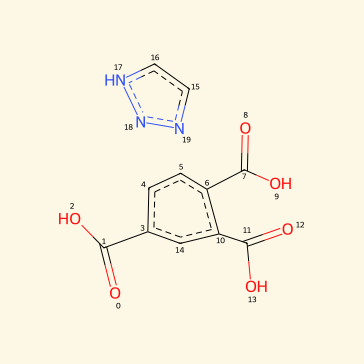 O=C(O)c1ccc(C(=O)O)c(C(=O)O)c1.c1c[nH]nn1